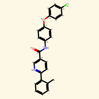 Cc1ccccc1-c1ccc(C(=O)Nc2ccc(Oc3ccc(Cl)cc3)cc2)cn1